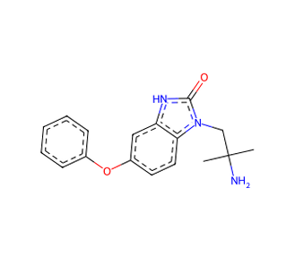 CC(C)(N)Cn1c(=O)[nH]c2cc(Oc3ccccc3)ccc21